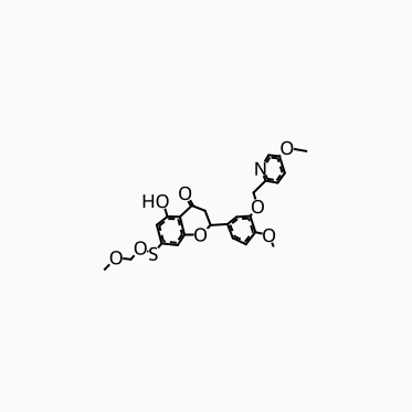 COCOSc1cc(O)c2c(c1)OC(c1ccc(OC)c(OCc3ccc(OC)cn3)c1)CC2=O